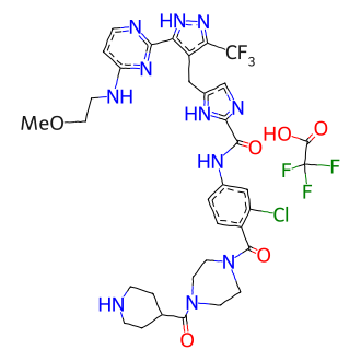 COCCNc1ccnc(-c2[nH]nc(C(F)(F)F)c2Cc2cnc(C(=O)Nc3ccc(C(=O)N4CCN(C(=O)C5CCNCC5)CC4)c(Cl)c3)[nH]2)n1.O=C(O)C(F)(F)F